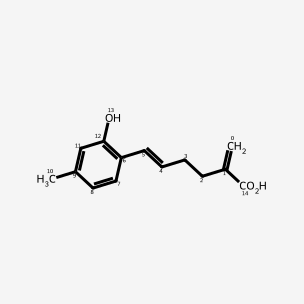 C=C(CCC=Cc1ccc(C)cc1O)C(=O)O